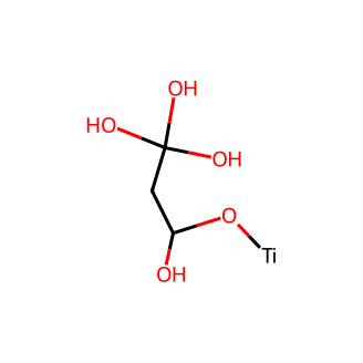 OC(CC(O)(O)O)[O][Ti]